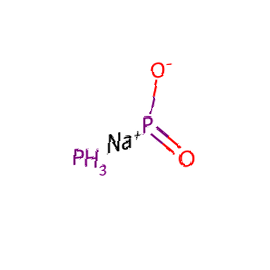 O=P[O-].P.[Na+]